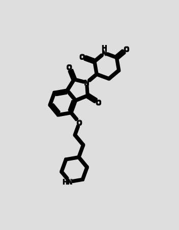 O=C1CCC(N2C(=O)c3cccc(OCCC4CCNCC4)c3C2=O)C(=O)N1